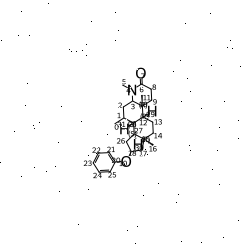 CC1CC2N(C)C(=O)CC[C@]2(C)[C@@H]2CC[C@]3(C)CC(Oc4ccccc4)C[C@H]3[C@H]12